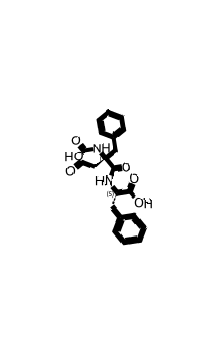 O=CN[C@](CC(=O)O)(Cc1ccccc1)C(=O)N[C@@H](Cc1ccccc1)C(=O)O